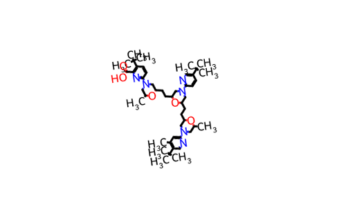 Cc1cc(N2CC(C)OC(CCC3CN(c4ccc(C(C)(C)C)cn4)CC(CCC4CN(c5ccc(C(C)(C)C)c(C(=O)O)n5)CC(C)O4)O3)C2)ncc1C(C)(C)C